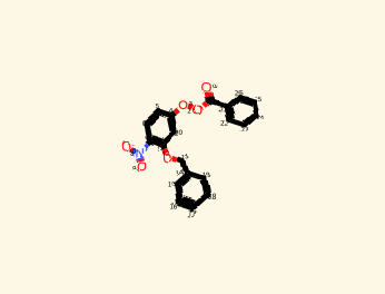 O=C(OOc1ccc([N+](=O)[O-])c(OCc2ccccc2)c1)c1ccccc1